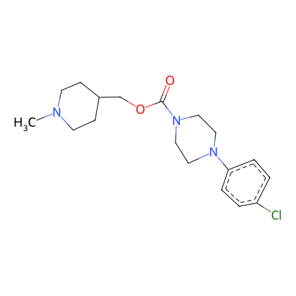 CN1CCC(COC(=O)N2CCN(c3ccc(Cl)cc3)CC2)CC1